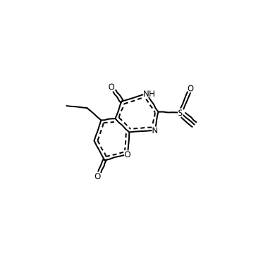 C#S(=O)c1nc2oc(=O)cc(CC)c2c(=O)[nH]1